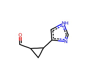 O=CC1CC1c1c[nH]cn1